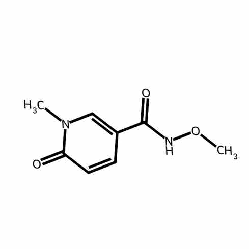 CONC(=O)c1ccc(=O)n(C)c1